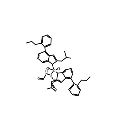 CCCc1ccccc1-c1cccc2c1C=C(CC(C)C)[CH]2[Zr]([Cl])([Cl])([B](NC=O)NC=O)[CH]1C(CC(C)C)=Cc2c(-c3ccccc3CCC)cccc21